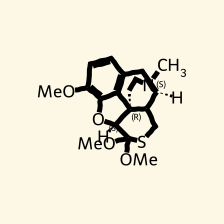 COc1ccc2c3c1O[C@@H]1C(OC)(OC)SCC4[C@H](C2)N(C)CC[C@]341